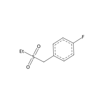 CCS(=O)(=O)Cc1ccc(F)cc1